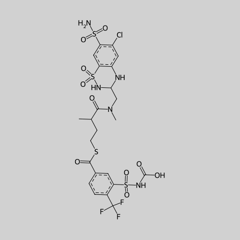 CC(CCSC(=O)c1ccc(C(F)(F)F)c(S(=O)(=O)NC(=O)O)c1)C(=O)N(C)CC1Nc2cc(Cl)c(S(N)(=O)=O)cc2S(=O)(=O)N1